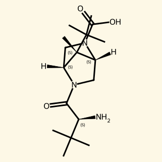 CC(C)(C)[C@H](N)C(=O)N1C[C@H]2N(C(=O)O)C[C@@H]1[C@]2(C)C(C)(C)C